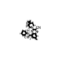 Cc1cc([C@@H](C)Nc2ccccc2C(=O)O)c2nc(N3CCC4(CC4)C(F)(F)C3)c(C#N)nc2c1